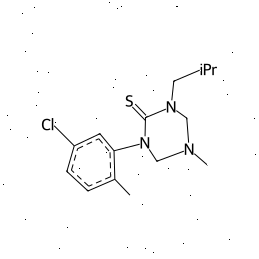 Cc1ccc(Cl)cc1N1CN(C)CN(CC(C)C)C1=S